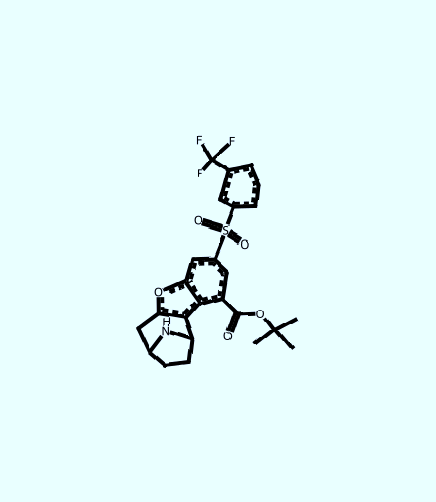 CC(C)(C)OC(=O)c1cc(S(=O)(=O)c2cccc(C(F)(F)F)c2)cc2oc3c(c12)C1CCC(C3)N1